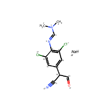 CN(C)/C=N/c1c(Cl)cc(C(C#N)C=O)cc1Cl.[NaH]